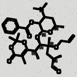 C=CCO[C@](C)(C[C@@H](C)C=O)[C@H](O[C@@H]1O[C@H](C)CC(N(C)C)C1OC(=O)c1ccccc1)[C@@H](C)C1=C(C)C(=O)OC(C)(C)O1